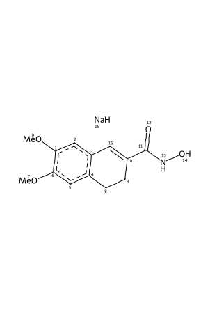 COc1cc2c(cc1OC)CCC(C(=O)NO)=C2.[NaH]